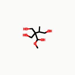 COC(O)C(CO)(CO)C(C)CO